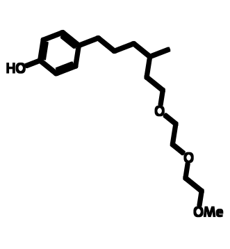 COCCOCCOCCC(C)CCCc1ccc(O)cc1